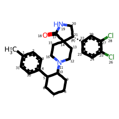 Cc1ccc(C2CCCCC2N2CCC3(CC2)C(=O)NC[C@@H]3c2ccc(Cl)c(Cl)c2)cc1